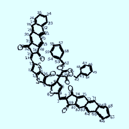 O=C1C(=Cc2cc3c(s2)-c2sc4cc(C=C5C(=O)c6cc7cc8ccccc8cc7cc6C5=O)sc4c2OC3(C(=O)OCc2ccccc2)C(=O)OCc2ccccc2)C(=O)c2cc3cc4ccccc4cc3cc21